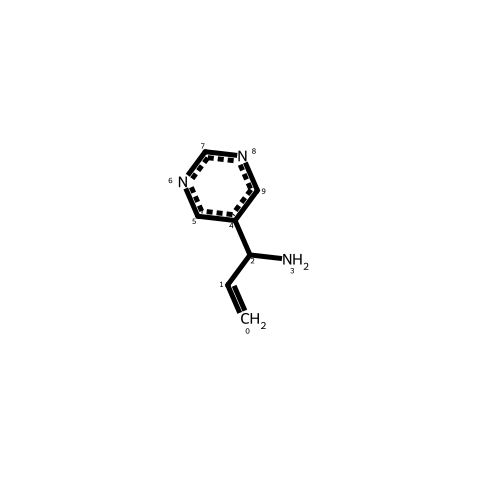 C=CC(N)c1cncnc1